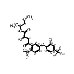 COCC(C)OC(=O)C(=O)CC(=O)c1cc(Oc2ccc(C(F)(F)F)cc2Cl)ccc1[N+](=O)[O-]